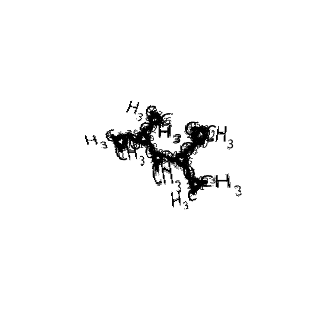 Cc1cc(C)cc(COc2cc(COc3cc(C)cc(OCc4cc(OCc5cc(C)cc(C)c5)cc(OCc5cc(C)cc(C)c5)c4)c3)cc(OCc3cc(C)cc(C)c3)c2)c1